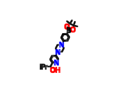 CC(C)C(O)c1ccc(N2CCN(c3ccc(B4OC(C)(C)C(C)(C)O4)cc3)CC2)cn1